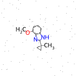 [CH2]Oc1cccc2[nH]c(C3(C)CC3)nc12